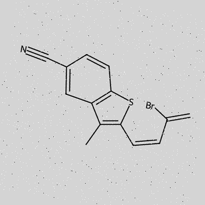 C=C(Br)/C=C\c1sc2ccc(C#N)cc2c1C